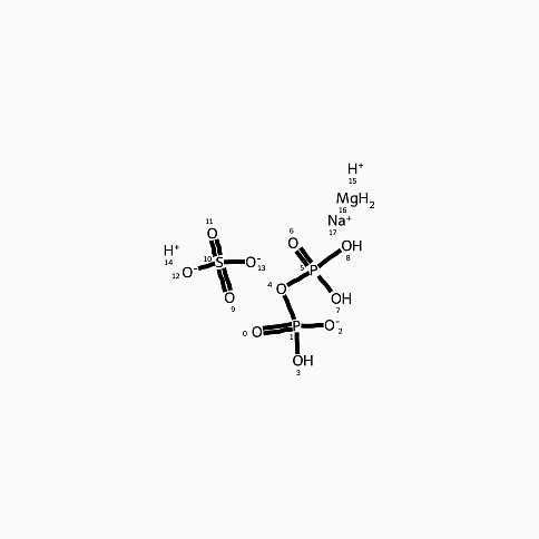 O=P([O-])(O)OP(=O)(O)O.O=S(=O)([O-])[O-].[H+].[H+].[MgH2].[Na+]